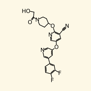 N#Cc1cc(Oc2cncc(-c3ccc(F)c(F)c3)c2)cnc1OC1CCN(C(=O)CO)CC1